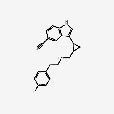 N#Cc1ccc2[nH]cc(C3CC3CNCCc3ccc(F)cc3)c2c1